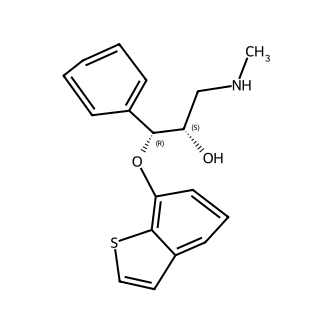 CNC[C@H](O)[C@H](Oc1cccc2ccsc12)c1ccccc1